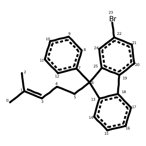 CC(C)=CCCC1(c2ccccc2)c2ccccc2-c2ccc(Br)cc21